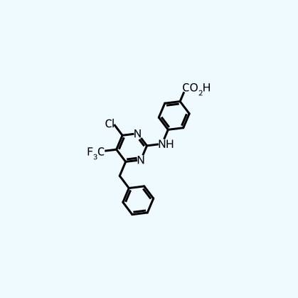 O=C(O)c1ccc(Nc2nc(Cl)c(C(F)(F)F)c(Cc3ccccc3)n2)cc1